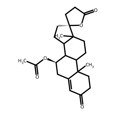 CC(=O)O[C@@H]1CC2=CC(=O)CCC2(C)C2CCC3(C)C(CC[C@@]34CCC(=O)O4)C21